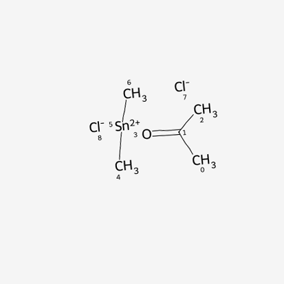 CC(C)=O.[CH3][Sn+2][CH3].[Cl-].[Cl-]